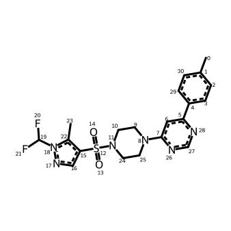 Cc1ccc(-c2cc(N3CCN(S(=O)(=O)c4cnn(C(F)F)c4C)CC3)ncn2)cc1